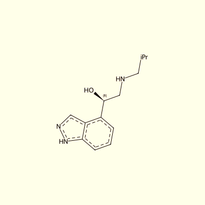 CC(C)CNC[C@H](O)c1cccc2[nH]ncc12